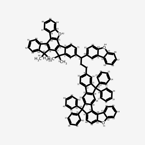 CC1(C)c2cc(C(CCc3ccc4c(c3)C(c3ccccc3)(c3ccccc3)c3cc5c(cc3-4)C(c3ccccc3)(c3ccccc3)c3ccc4oc6ccccc6c4c3-5)c3ccc4oc5ccccc5c4c3)ccc2-c2c1c1c(c3c2oc2ccccc23)-c2ccccc2C1(C)C